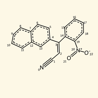 N#CC=C(c1ccc2ccccc2c1)c1ccccc1[N+](=O)[O-]